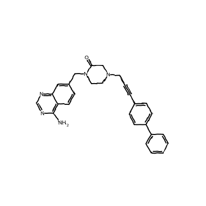 Nc1ncnc2cc(CN3CCN(CC#Cc4ccc(-c5ccccc5)cc4)CC3=O)ccc12